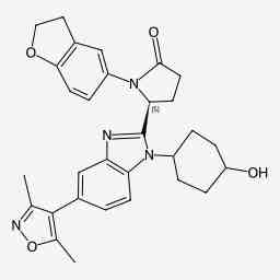 Cc1noc(C)c1-c1ccc2c(c1)nc([C@@H]1CCC(=O)N1c1ccc3c(c1)CCO3)n2C1CCC(O)CC1